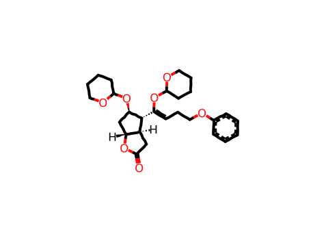 O=C1C[C@@H]2[C@@H](C(=CCCOc3ccccc3)OC3CCCCO3)[C@H](OC3CCCCO3)C[C@H]2O1